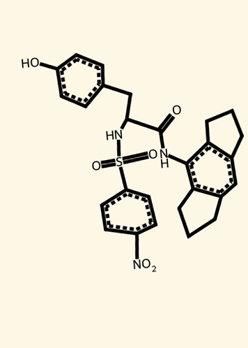 O=C(Nc1c2c(cc3c1CCC3)CCC2)C(Cc1ccc(O)cc1)NS(=O)(=O)c1ccc([N+](=O)[O-])cc1